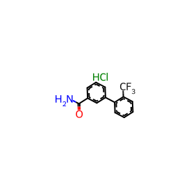 Cl.NC(=O)c1cccc(-c2ccccc2C(F)(F)F)c1